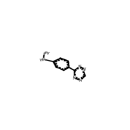 CC(C)Nc1ccc(-c2nncnn2)cc1